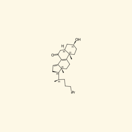 CC(C)CCC[C@@H](C)[C@H]1CC=C2C3=C(CC[C@@]21C)[C@@]1(C)CC[C@H](O)C[C@@H]1CC3=O